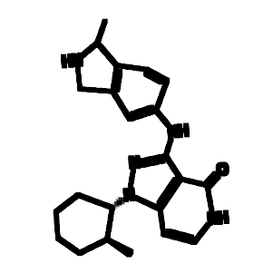 CC1NCc2cc(Nc3nn([C@H]4CCCC[C@@H]4C)c4cc[nH]c(=O)c34)ccc21